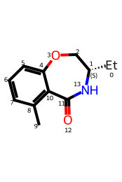 CC[C@H]1COc2cccc(C)c2C(=O)N1